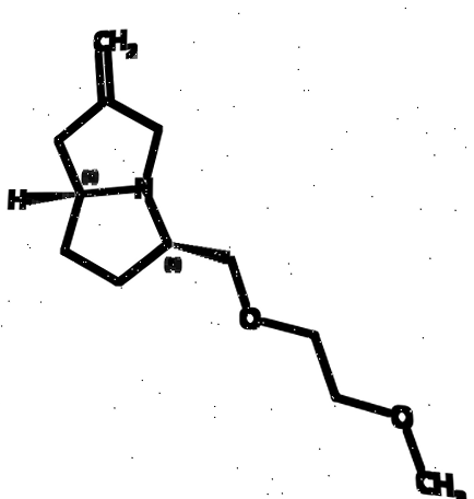 C=C1C[C@@H]2CC[C@@H](COCCOC)N2C1